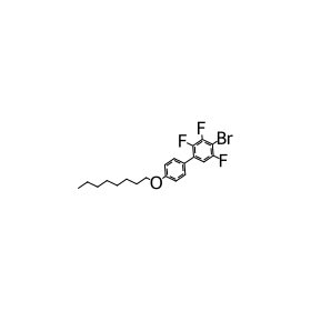 CCCCCCCCOc1ccc(-c2cc(F)c(Br)c(F)c2F)cc1